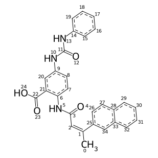 C/C(=C/C(=O)Nc1ccc(NC(=O)Nc2ccccc2)cc1C(=O)O)c1ccc2ccccc2c1